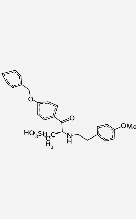 COc1ccc(CCN[C@@H](C)C(=O)c2ccc(OCc3ccccc3)cc2)cc1.CS(=O)(=O)O